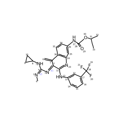 C=C1/C(=N\C(=N/C)NC2CC2)C(Nc2cccc(C(F)(F)F)c2)=Nc2cc(NC(=O)OC(C)C)ccc21